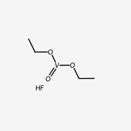 CC[O][V](=[O])[O]CC.F